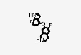 Fc1cc2c(cc1Oc1ccnc3[nH]ccc13)CNCC2